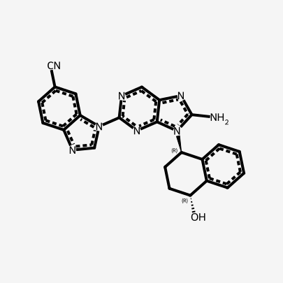 N#Cc1ccc2ncn(-c3ncc4nc(N)n([C@@H]5CC[C@@H](O)c6ccccc65)c4n3)c2c1